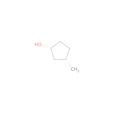 C[C@H]1CC[C@@H](O)C1